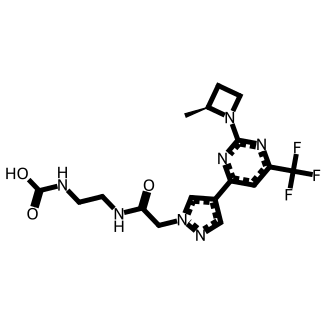 C[C@H]1CCN1c1nc(-c2cnn(CC(=O)NCCNC(=O)O)c2)cc(C(F)(F)F)n1